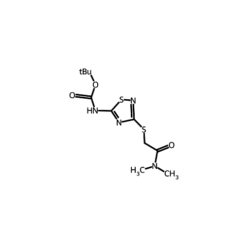 CN(C)C(=O)CSc1nsc(NC(=O)OC(C)(C)C)n1